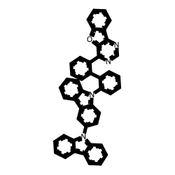 c1ccc(-c2ncnc3c2oc2ccccc23)c(-c2ccccc2-n2c3ccccc3c3cc(-n4c5ccccc5c5ccccc54)ccc32)c1